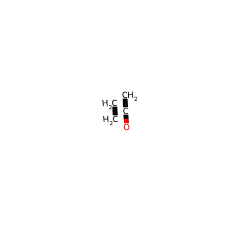 C=C.C=C=O